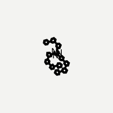 c1ccc(-c2cccc(-c3cccc(-c4ccc(-c5nc(-c6cccc(-c7cccc(-c8ccccc8)c7)c6)nc(-c6cccc(-c7cccc(-c8cccc(-c9ccccc9)c8)c7)c6)n5)cc4)c3)c2)cc1